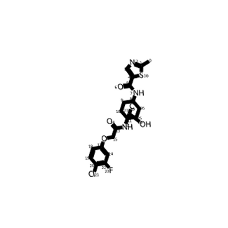 Cc1ncc(C(=O)NC23CCC(NC(=O)COc4ccc(Cl)c(F)c4)(CC2)C(O)C3)s1